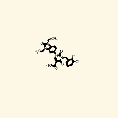 CCn1c(=O)n(CC)c2cc(-n3cc(C(=O)O)c(=O)n(Cc4cccc(Cl)c4Cl)c3=O)ccc21